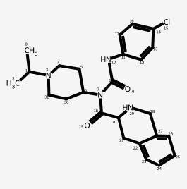 CC(C)N1CCC(N(C(=O)Nc2ccc(Cl)cc2)C(=O)C2Cc3ccccc3CN2)CC1